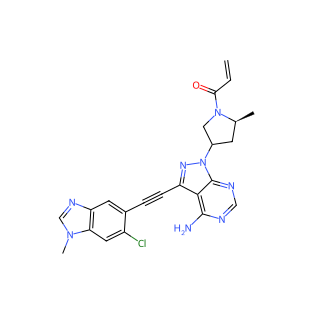 C=CC(=O)N1CC(n2nc(C#Cc3cc4ncn(C)c4cc3Cl)c3c(N)ncnc32)C[C@@H]1C